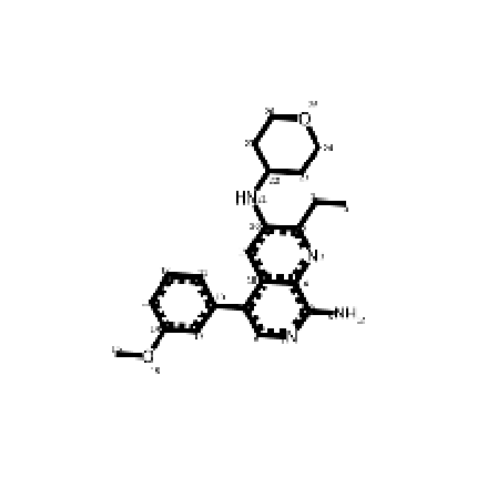 CCc1nc2c(N)ncc(-c3cccc(OC)c3)c2cc1NC1CCOCC1